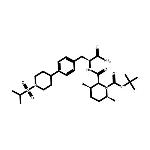 CC(C)S(=O)(=O)N1CCC(c2ccc(C[C@H](NC(=O)[C@@H]3[C@H](C)CC[C@H](C)N3C(=O)OC(C)(C)C)C(N)=O)cc2)CC1